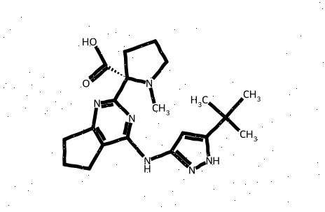 CN1CCC[C@]1(C(=O)O)c1nc2c(c(Nc3cc(C(C)(C)C)[nH]n3)n1)CCC2